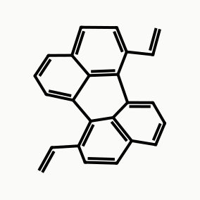 C=Cc1ccc2cccc3c4c(C=C)ccc5cccc(c1c23)c54